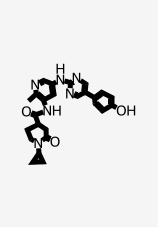 Cc1ncc(Nc2ncc(-c3ccc(O)cc3)cn2)cc1NC(=O)C1CCN(C2CC2)C(=O)C1